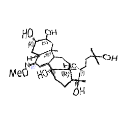 CO/N=C1\C=C2C(CC[C@]3(C)C([C@@](C)(O)[C@H](O)CCC(C)(C)O)CC[C@@]23O)[C@@]2(C)C[C@H](O)[C@H](O)C[C@@H]12